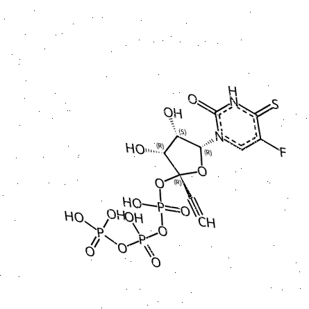 C#C[C@]1(OP(=O)(O)OP(=O)(O)OP(=O)(O)O)O[C@@H](n2cc(F)c(=S)[nH]c2=O)[C@@H](O)[C@H]1O